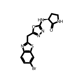 O=C1NCC[C@@H]1Nc1nnc(Cc2nc3ccc(Br)cc3s2)o1